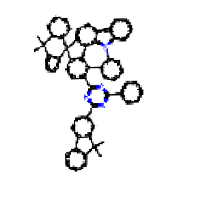 CC1(C)c2ccccc2-c2ccc(-c3nc(-c4ccccc4)nc(-c4ccc5c6c4-c4ccccc4-n4c7ccccc7c7ccc(c-6c74)C54c5ccccc5C(C)(C)c5ccccc54)n3)cc21